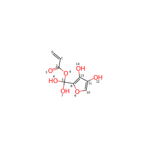 C=CC(=O)OC(O)(O)c1occ(O)c1O